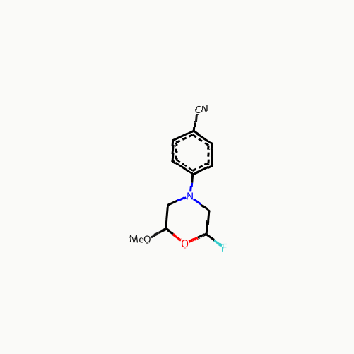 COC1CN(c2ccc(C#N)cc2)CC(F)O1